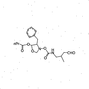 CCCC(=O)OC1OCN(OC(=O)NCC(C)CC=O)C1Cc1ccccc1